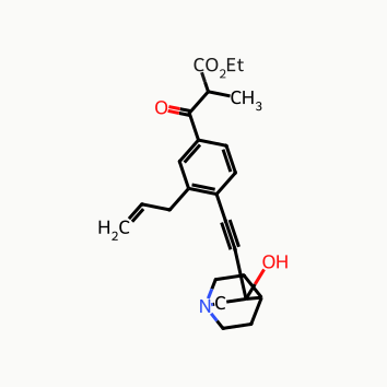 C=CCc1cc(C(=O)C(C)C(=O)OCC)ccc1C#CC1(O)CN2CCC1CC2